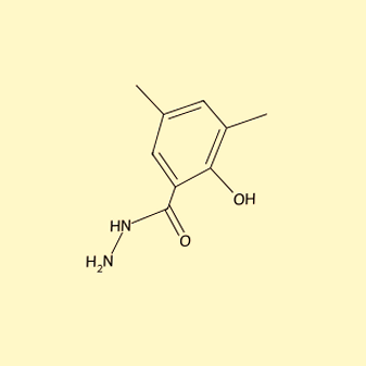 Cc1cc(C)c(O)c(C(=O)NN)c1